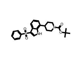 CC(C)(C)OC(=O)N1CCC(c2cccc3c(S(=O)(=O)c4ccccc4)c[nH]c23)CC1